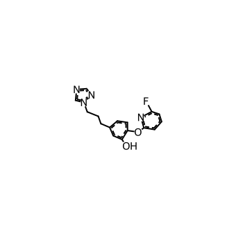 Oc1cc(CCCn2cncn2)ccc1Oc1cccc(F)n1